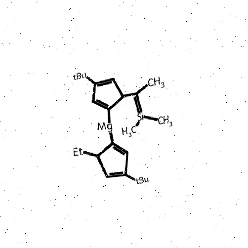 CCC1C=C(C(C)(C)C)C=[C]1[Mg][C]1=CC(C(C)(C)C)=CC1C(C)=[Si](C)C